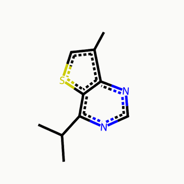 Cc1csc2c(C(C)C)ncnc12